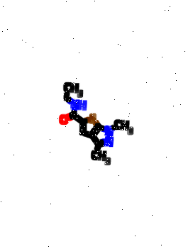 CCNC(=O)c1cc2c(C)nn(C)c2s1